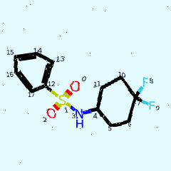 O=S(=O)(NC1CCC(F)(F)CC1)c1ccccc1